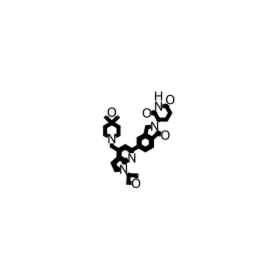 O=C1CCC(N2Cc3cc(-c4cc(CN5CCC6(CC5)COC6)c5ccn(C6COC6)c5n4)ccc3C2=O)C(=O)N1